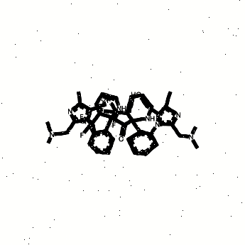 Cc1nc(CN(C)C)n(-c2ccccc2C2(C(=O)C3(c4ccccc4-n4c(CN(C)C)nc(C)c4CO)NC=CC=C3C(F)(F)F)NC=CC=C2C(F)(F)F)c1CO